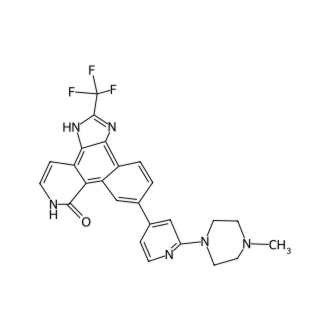 CN1CCN(c2cc(-c3ccc4c(c3)c3c(=O)[nH]ccc3c3[nH]c(C(F)(F)F)nc43)ccn2)CC1